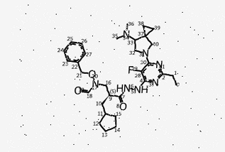 CCc1nc(NNC(=O)[C@@H](CC2CCCC2)CN(C=O)OCc2ccccc2)c(F)c(N2CC(N(C)C)C3(CC3)C2)n1